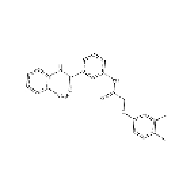 Cc1ccc(OCC(=O)Nc2cccc(C(=O)Nc3ccccc3C(=O)O)c2)cc1C